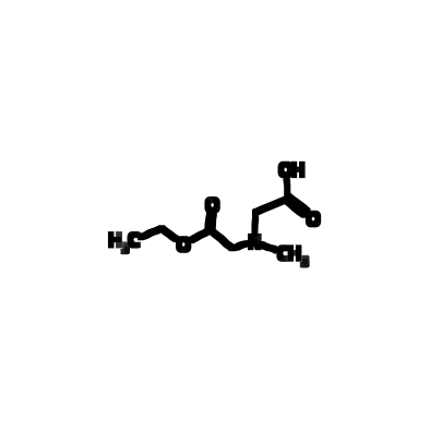 CCOC(=O)CN(C)CC(=O)O